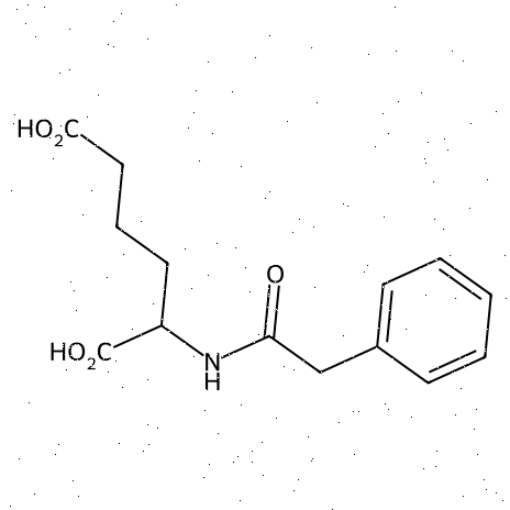 O=C(O)CCCC(NC(=O)Cc1ccccc1)C(=O)O